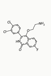 NCCOc1c(-c2ccc(Cl)c(Cl)c2)[nH]c(=O)c2cc(F)ccc12